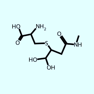 CNC(=O)CC(SCC(N)C(=O)O)C(O)O